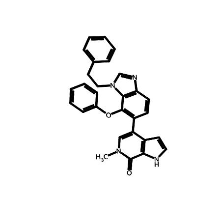 Cn1cc(-c2ccc3ncn(CCc4ccccc4)c3c2Oc2ccccc2)c2cc[nH]c2c1=O